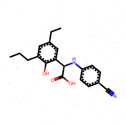 CCCc1cc(CC)cc(C(Nc2ccc(C#N)cc2)C(=O)O)c1O